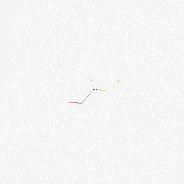 CCSCC[O-].[Na+]